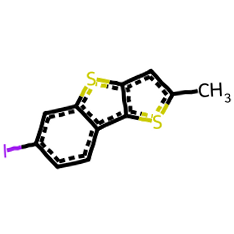 Cc1cc2sc3cc(I)ccc3c2s1